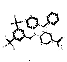 CC(=O)N1CC[C@H](OCc2cc(C(F)(F)F)cc(C(F)(F)F)c2)[C@H](C(c2ccccc2)c2ccccc2)C1